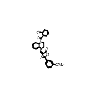 COc1cccc(C2=NC(=CN3CCN(C(=O)c4ccccc4Cl)C4CCCC=C43)C(=O)O2)c1